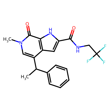 CC(c1ccccc1)c1cn(C)c(=O)c2[nH]c(C(=O)NCC(F)(F)F)cc12